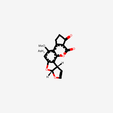 COc1cc2c(c3oc(=O)c4c(c13)CCC4=O)[C@@H]1C=CO[C@@H]1O2.[AsH3]